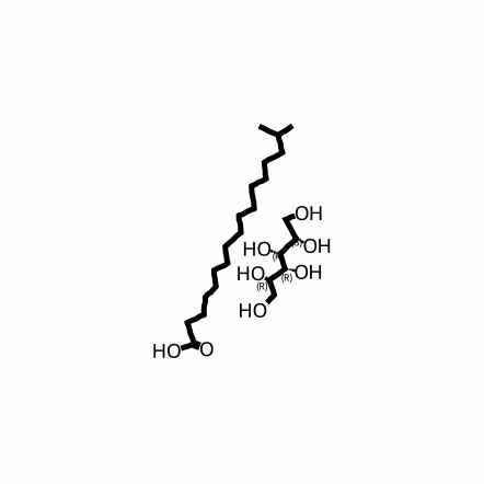 CC(C)CCCCCCCCCCCCCCC(=O)O.OC[C@@H](O)[C@@H](O)[C@H](O)[C@@H](O)CO